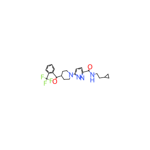 O=C(NCCC1CC1)c1ccc(N2CCC(C(=O)c3ccccc3C(F)(F)F)CC2)nn1